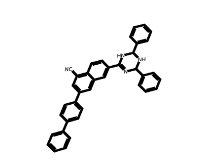 N#Cc1cc(-c2ccc(-c3ccccc3)cc2)cc2cc(C3=NC(c4ccccc4)NC(c4ccccc4)N3)ccc12